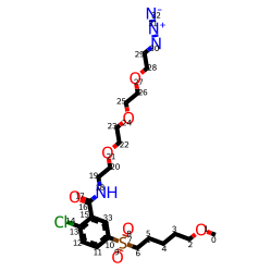 COCCC[CH]CS(=O)(=O)c1ccc(Cl)c(C(=O)NCCOCCOCCOCCN=[N+]=[N-])c1